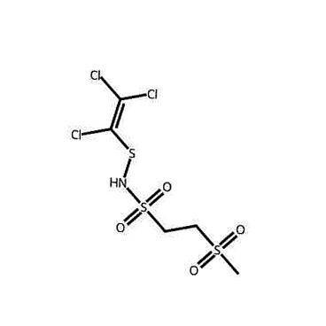 CS(=O)(=O)CCS(=O)(=O)NSC(Cl)=C(Cl)Cl